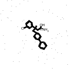 CC(Cc1ccc(-c2ccccc2)cc1)(C[C@H](N)O)c1cccc(Cl)c1